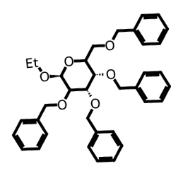 CCO[C@H]1OC(COCc2ccccc2)[C@H](OCc2ccccc2)[C@H](OCc2ccccc2)C1OCc1ccccc1